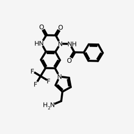 NCc1ccn(-c2cc3c(cc2C(F)(F)F)[nH]c(=O)c(=O)n3NC(=O)c2ccccc2)c1